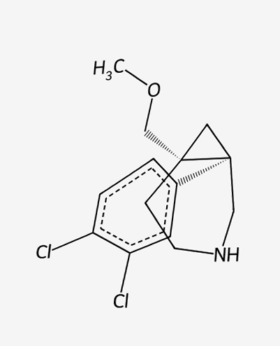 COC[C@@]12CCNC[C@]1(c1ccc(Cl)c(Cl)c1)C2